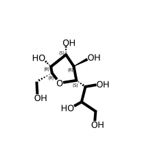 OCC(O)C(O)[C@@H]1O[C@H](CO)[C@H](O)[C@H](O)[C@H]1O